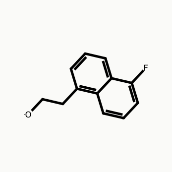 [O]CCc1cccc2c(F)cccc12